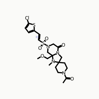 COCC12CN(S(=O)(=O)/C=C/c3ccc(Cl)s3)CC(=O)N1CC1(CCN(C(C)=O)CC1)N2C